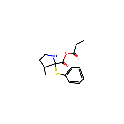 CCC(=O)OC(=O)[C@@]1(Sc2ccccc2)NCCC1C